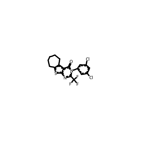 O=c1c2c3c(sc2nc(C(F)(F)F)n1-c1cc(Cl)cc(Cl)c1)CCCCC3